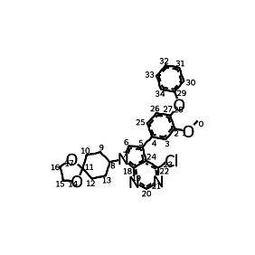 COc1cc(-c2cn(C3CCC4(CC3)OCCO4)c3ncnc(Cl)c23)ccc1Oc1ccccc1